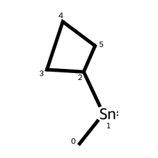 [CH3][Sn][CH]1CCC1